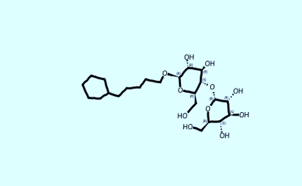 OC[C@H]1O[C@H](O[C@H]2[C@H](O)[C@@H](O)[C@H](OCCCCCC3CCCCC3)O[C@@H]2CO)[C@H](O)[C@@H](O)[C@@H]1O